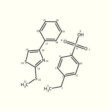 CCc1ccc(S(=O)(=O)O)cc1.CSc1nc(-c2ccccc2)cs1